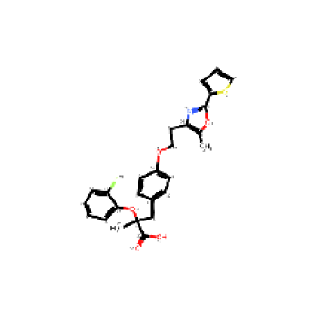 Cc1oc(-c2cccs2)nc1CCOc1ccc(CC(C)(Oc2ccccc2F)C(=O)O)cc1